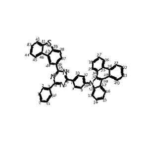 c1ccc(-c2nc(-c3ccc(-n4c5ccccc5c5c6ccccc6c6ccccc6c54)cc3)nc(-c3ccc4sc5ccccc5c4c3)n2)cc1